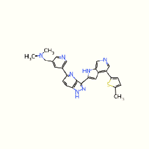 Cc1ccc(-c2cncc3[nH]c(-c4n[nH]c5ccc(-c6cncc(CN(C)C)c6)nc45)cc23)s1